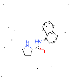 O=C(Nc1cccc2ccccc12)[C@@H]1CCCN1